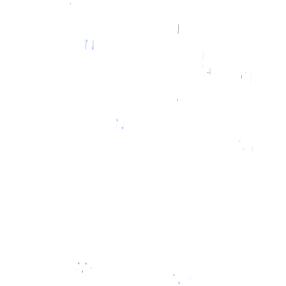 COc1cc(N2CCN(C)CC2)c(C(O[SiH](C)C)C(C)(C)C)cc1N